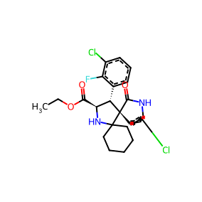 CCOC(=O)[C@@H]1NC2(CCCCC2)[C@@]2(C(=O)Nc3cc(Cl)ccc32)[C@H]1c1cccc(Cl)c1F